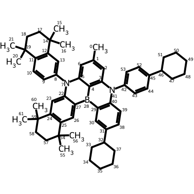 Cc1cc2c3c(c1)N(c1ccc4c(c1)C(C)(C)CCC4(C)C)c1cc4c(cc1B3c1cc(C3CCCCC3)ccc1N2c1ccc(C2CCCCC2)cc1)C(C)(C)CCC4(C)C